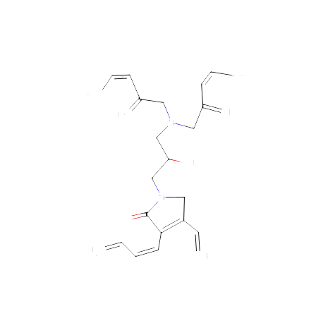 C=C/C=C\C1=C(C=C)CN(CC(O)CN(CC(=C)/C=C\C)CC(=C)/C=C\C)C1=O